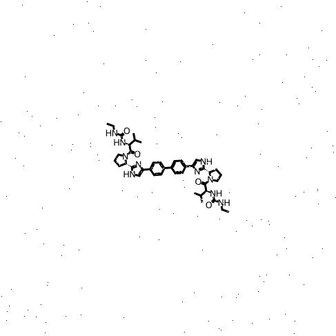 CCNC(=O)N[C@H](C(=O)N1CCC[C@H]1c1nc(-c2ccc(-c3ccc(-c4c[nH]c([C@@H]5CCCN5C(=O)[C@@H](NC(=O)NCC)C(C)C)n4)cc3)cc2)c[nH]1)C(C)C